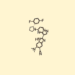 CN(C)c1cc2[nH]c(-c3cnn4ccc(N5CCC[C@@H]5c5cc(F)ccc5F)nc34)nc2cc1C#N